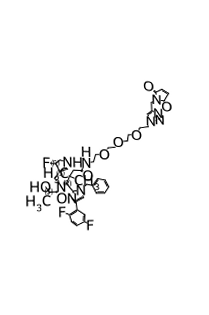 C[C@H](O)C(=O)N(C[C@@H]1CNC[C@@H]1F)[C@@H](c1nc(-c2cc(F)ccc2F)cn1Cc1ccccc1)C(C)(C)CC(=O)NCCOCCOCCOCCn1cc(CN2C(=O)C=CC2=O)nn1